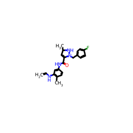 C=CNc1cc(NC(=O)C2=CC(C)NN2Cc2ccc(F)cc2)ccc1C